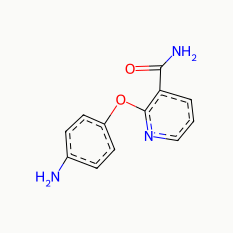 NC(=O)c1cccnc1Oc1ccc(N)cc1